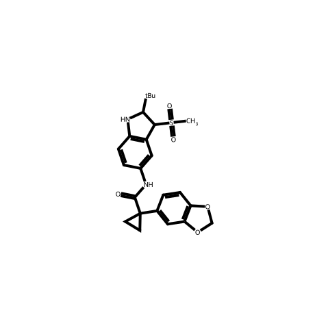 CC(C)(C)C1Nc2ccc(NC(=O)C3(c4ccc5c(c4)OCO5)CC3)cc2C1S(C)(=O)=O